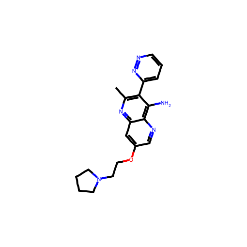 Cc1nc2cc(OCCN3CCCC3)cnc2c(N)c1-c1cccnn1